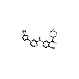 Bc1ccc(-c2ccnc(Nc3ccc(O)c(C(=O)N4CCOCC4)c3)n2)s1